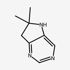 CC1(C)Cc2ncncc2N1